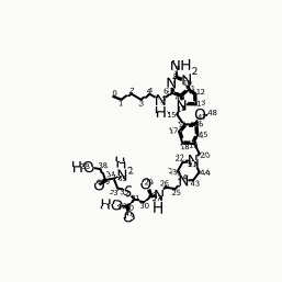 CCCCCNc1nc(N)nc2ccn(Cc3ccc(CN4CCN(CCNC(=O)CC(SC[C@H](N)C(=O)CO)C(=O)O)CC4)cc3OC)c12